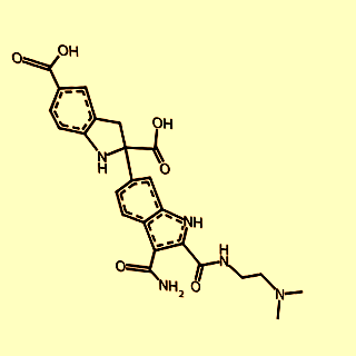 CN(C)CCNC(=O)c1[nH]c2cc(C3(C(=O)O)Cc4cc(C(=O)O)ccc4N3)ccc2c1C(N)=O